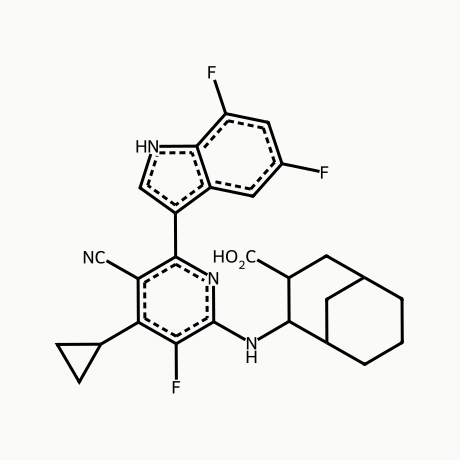 N#Cc1c(-c2c[nH]c3c(F)cc(F)cc23)nc(NC2C3CCCC(C3)CC2C(=O)O)c(F)c1C1CC1